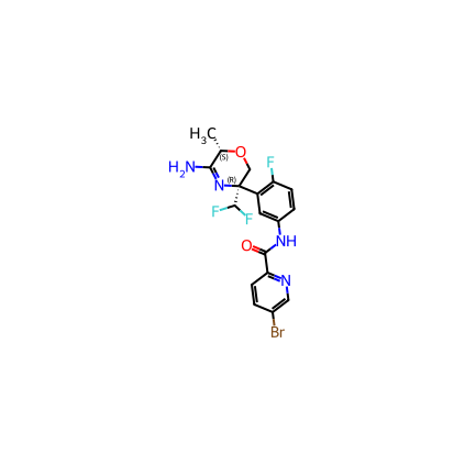 C[C@@H]1OC[C@](c2cc(NC(=O)c3ccc(Br)cn3)ccc2F)(C(F)F)N=C1N